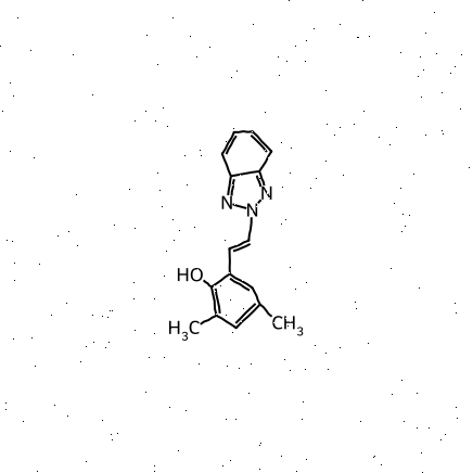 Cc1cc(C)c(O)c(C=Cn2nc3ccccc3n2)c1